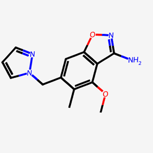 COc1c(C)c(Cn2cccn2)cc2onc(N)c12